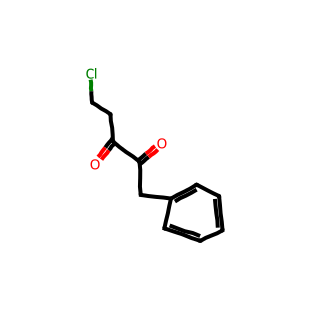 O=C(CCCl)C(=O)Cc1ccccc1